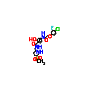 CS(=O)(=O)C1CCC(CNC(=O)C23CCC(NC(=O)COc4ccc(Cl)c(F)c4)(CC2)CC3O)NC1